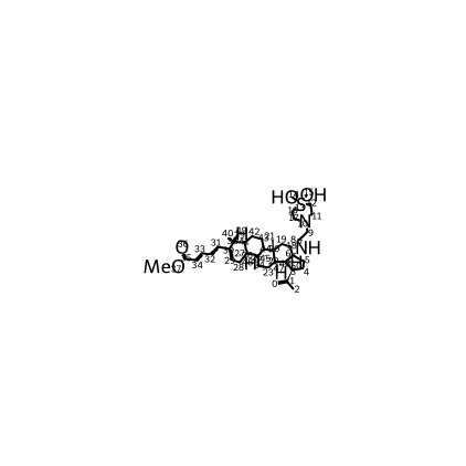 C=C(C)[C@@H]1CC[C@]2(NCCN3CCS(O)(O)CC3)CC[C@]3(C)[C@H](CC[C@@H]4[C@@]5(C)CC=C(/C=C/C=C/C(=O)OC)C(C)(C)[C@@H]5CC[C@]43C)[C@@H]12